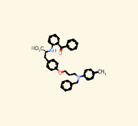 Cc1ccc(N(CCCOc2ccc(C[C@H](Nc3ccccc3C(=O)c3ccccc3)C(=O)O)cc2)Cc2ccccc2)cc1